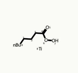 CCCCCCCC(=O)OO.[Ti]